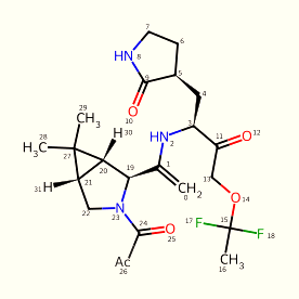 C=C(N[C@@H](C[C@@H]1CCNC1=O)C(=O)COC(C)(F)F)[C@@H]1[C@@H]2[C@H](CN1C(=O)C(C)=O)C2(C)C